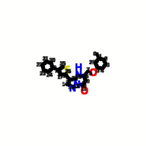 Cc1cccc(OCc2cc(=O)n3ncc(-c4cc(-c5ccccc5)cs4)c3[nH]2)c1